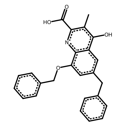 Cc1c(C(=O)O)nc2c(OCc3ccccc3)cc(Cc3ccccc3)cc2c1O